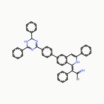 CCC(=N)/C(=C1\NC(c2ccccc2)=Cc2cc(-c3ccc(C4=NC(c5ccccc5)NC(c5ccccc5)=N4)cc3)ccc21)c1ccccc1